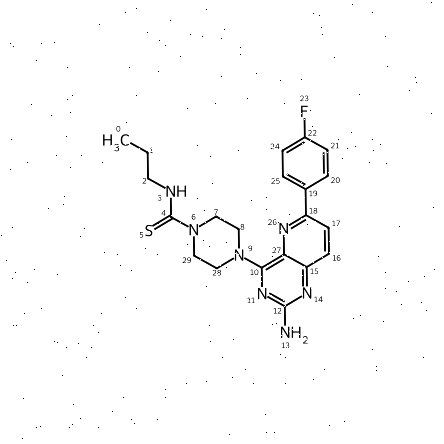 CCCNC(=S)N1CCN(c2nc(N)nc3ccc(-c4ccc(F)cc4)nc23)CC1